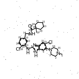 CN1CCN(c2cc3[nH]c(Nc4cc(CNC(=O)C5(C)CCCCC5)ccc4Cl)nc3cc2Cl)CC1